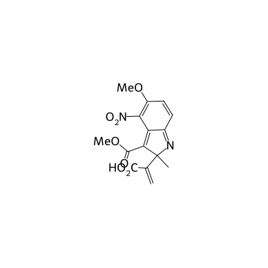 C=C(C(=O)O)C1(C)N=c2ccc(OC)c([N+](=O)[O-])c2=C1C(=O)OC